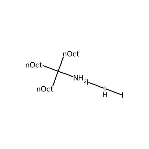 CCCCCCCCC(N)(CCCCCCCC)CCCCCCCC.I[IH]I